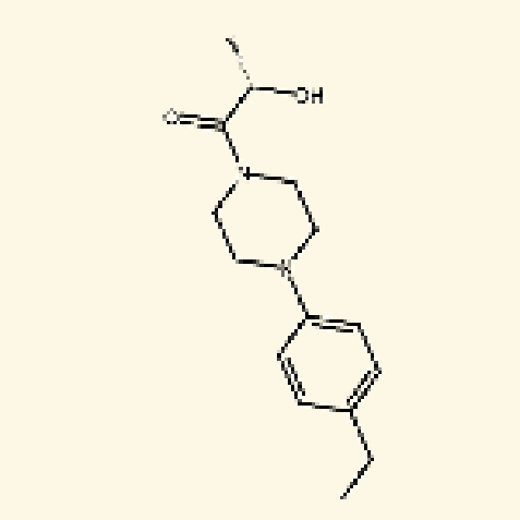 CCc1ccc(N2CCN(C(=O)[C@H](C)O)CC2)cc1